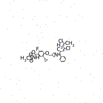 C/C(Cl)=C\C(Cl)=C/C(C)[C@@H](c1ccccc1)N1CC(COc2cc(F)c(C(=O)NS(C)(=O)=O)cc2C2CC2)C1